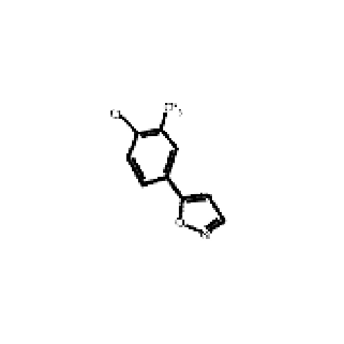 FC(F)(F)c1cc(-c2ccno2)ccc1Cl